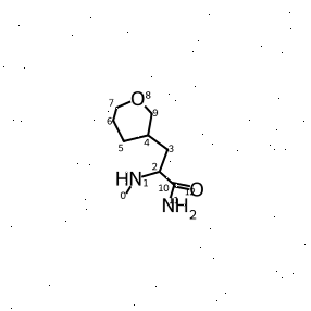 CNC(CC1CCCOC1)C(N)=O